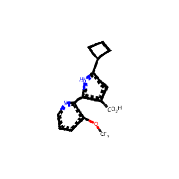 O=C(O)c1cc(C2CCC2)[nH]c1-c1ncccc1OC(F)(F)F